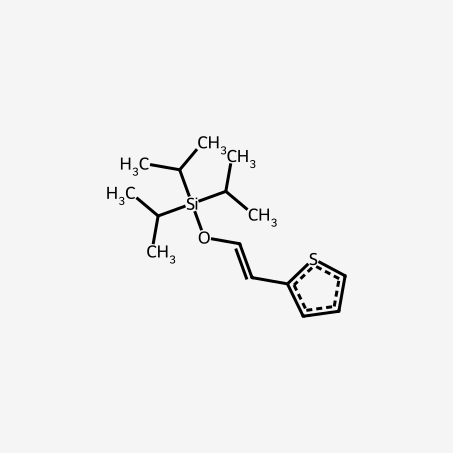 CC(C)[Si](OC=Cc1cccs1)(C(C)C)C(C)C